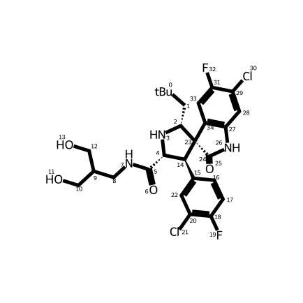 CC(C)(C)C[C@H]1N[C@@H](C(=O)NCC(CO)CO)[C@H](c2ccc(F)c(Cl)c2)[C@@]12C(=O)Nc1cc(Cl)c(F)cc12